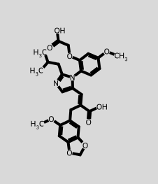 COc1ccc(-n2c(/C=C(\Cc3cc4c(cc3OC)OCO4)C(=O)O)cnc2CC(C)C)c(OCC(=O)O)c1